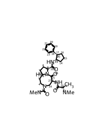 CNC(=O)N1CC[C@H]2CC[C@@H](C(=O)N[C@H]3CCC[C@@H]3c3ccccc3)N2C(=O)[C@@H](NC(=O)[C@H](C)NC)C1